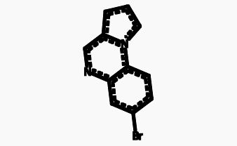 Brc1ccc2c(c1)ncc1cccn12